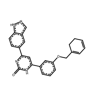 O=c1nc(-c2ccc3[nH]ncc3c2)cc(-c2cccc(OCC3=CC=CCC3)c2)[nH]1